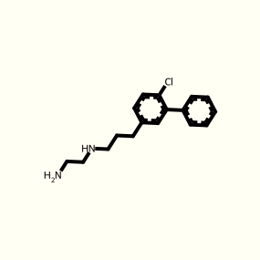 NCCNCCCc1ccc(Cl)c(-c2ccccc2)c1